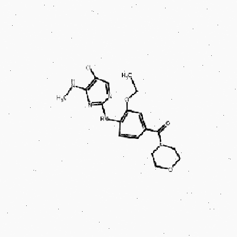 CCOc1cc(C(=O)N2CCOCC2)ccc1Nc1ncc(Cl)c(NC)n1